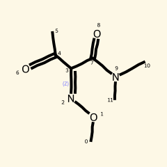 CO/N=C(/C(C)=O)C(=O)N(C)C